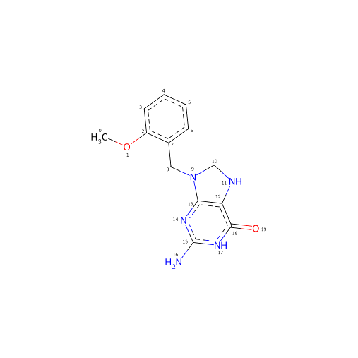 COc1ccccc1CN1CNc2c1nc(N)[nH]c2=O